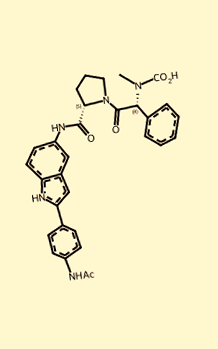 CC(=O)Nc1ccc(-c2cc3cc(NC(=O)[C@@H]4CCCN4C(=O)[C@@H](c4ccccc4)N(C)C(=O)O)ccc3[nH]2)cc1